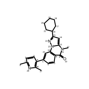 Cc1ccc(-c2ccc3c(=O)n(C)c4cc(C5CCCCC5)nn4c3c2)c(C)n1